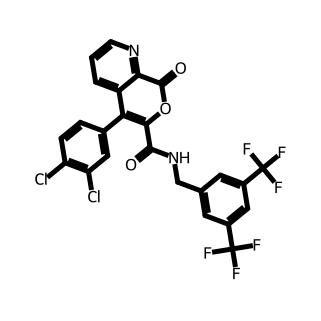 O=C(NCc1cc(C(F)(F)F)cc(C(F)(F)F)c1)c1oc(=O)c2ncccc2c1-c1ccc(Cl)c(Cl)c1